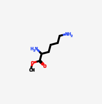 N#COC(=O)C(N)CCCCN